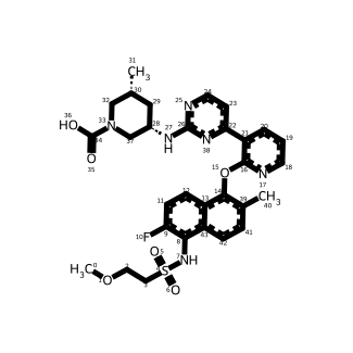 COCCS(=O)(=O)Nc1c(F)ccc2c(Oc3ncccc3-c3ccnc(N[C@H]4C[C@@H](C)CN(C(=O)O)C4)n3)c(C)ccc12